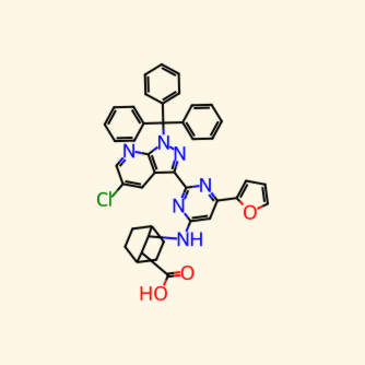 O=C(O)C1C2CCC(CC2)C1Nc1cc(-c2ccco2)nc(-c2nn(C(c3ccccc3)(c3ccccc3)c3ccccc3)c3ncc(Cl)cc23)n1